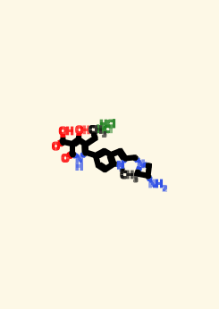 CCc1c(-c2ccc3c(c2)cc(CN2CC(N)C2)n3C)[nH]c(=O)c(C(=O)O)c1O.Cl.Cl